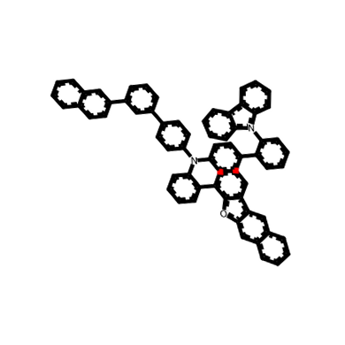 c1cc(-c2ccc(N(c3ccc(-c4ccccc4-n4c5ccccc5c5ccccc54)cc3)c3ccccc3-c3cccc4c3oc3cc5ccccc5cc34)cc2)cc(-c2ccc3ccccc3c2)c1